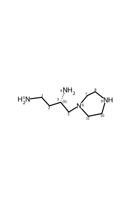 NCC[C@H](N)CN1CCNCC1